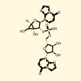 O=c1ccn([C@@H]2O[C@H](COP(=O)(S)O[C@H]3[C@H](n4ccc(=O)n5ccnc45)O[C@@H]4C(O)[C@@]43O)[C@@H](O)[C@H]2O)c2nccn12